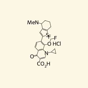 CNC1CCCc2sc(-c3ccc4c(=O)c(C(=O)O)cn(C5CC5)c4c3OC(F)F)cc21.Cl